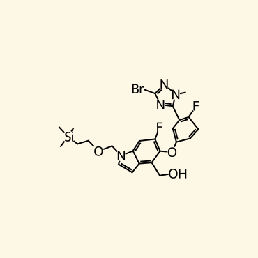 Cn1nc(Br)nc1-c1cc(Oc2c(F)cc3c(ccn3COCC[Si](C)(C)C)c2CO)ccc1F